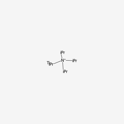 CC(C)[N+](C(C)C)(C(C)C)C(C)C.[Ti]